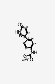 CC(C)SC(=O)Nc1ccc(-c2ccc(=O)[nH]n2)cc1